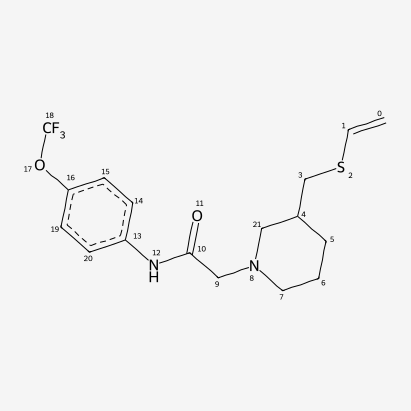 C=CSCC1CCCN(CC(=O)Nc2ccc(OC(F)(F)F)cc2)C1